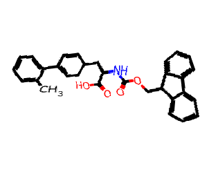 Cc1ccccc1C1=CCC(CC(NC(=O)OCC2c3ccccc3-c3ccccc32)C(=O)O)C=C1